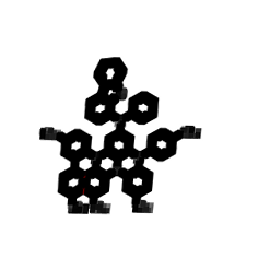 CC(C)(C)c1ccc(-c2cc(C(C)(C)C)ccc2N2c3ccc(C(C)(C)C)cc3B3c4cc(C(C)(C)C)ccc4N(c4ccc(C(C)(C)C)cc4)c4cc(N(c5ccccc5)c5cccc6c5oc5ccccc56)cc2c43)cc1